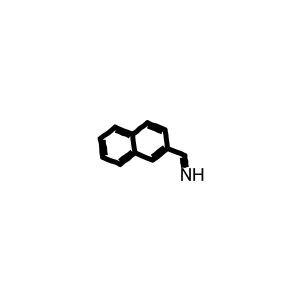 N=Cc1ccc2ccccc2c1